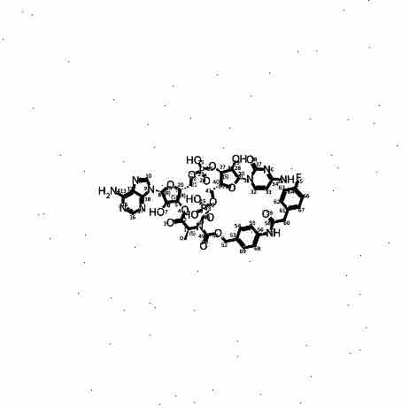 C[C@@H](C(=O)O[C@H]1[C@@H](O)[C@H](n2cnc3c(N)ncnc32)O[C@@H]1COP(=O)(O)O[C@H]1[C@@H](O)[C@H](n2ccc(N)nc2=O)O[C@@H]1COP(=O)(O)O)N(C)C(=O)OCc1ccc(NC(=O)Cc2ccc(F)cc2)cc1